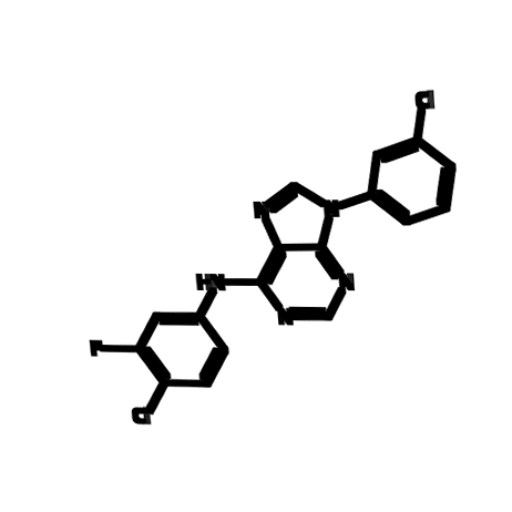 Fc1cc(Nc2ncnc3c2ncn3-c2cccc(Cl)c2)ccc1Cl